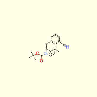 CC(C)(C)OC(=O)N1CCC2(C)c3c(C#N)cccc3CC1C2(C)C